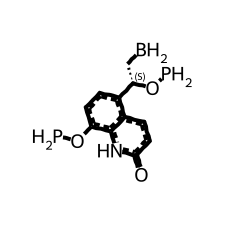 BC[C@H](OP)c1ccc(OP)c2[nH]c(=O)ccc12